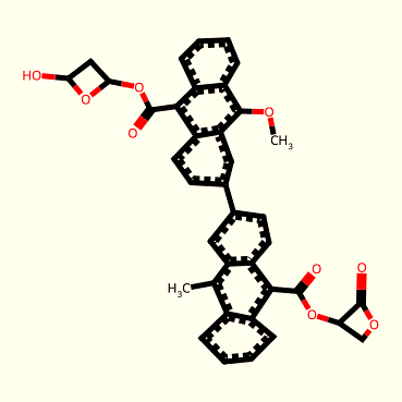 COc1c2ccccc2c(C(=O)OC2CC(O)O2)c2ccc(-c3ccc4c(C(=O)OC5COC5=O)c5ccccc5c(C)c4c3)cc12